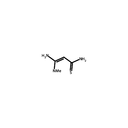 CN/C(N)=C\C(N)=S